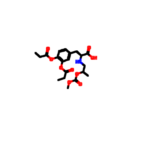 CCC(=O)Oc1ccc(C[C@H](NCC(C)OC(=O)OC)C(=O)O)cc1OC(=O)CC